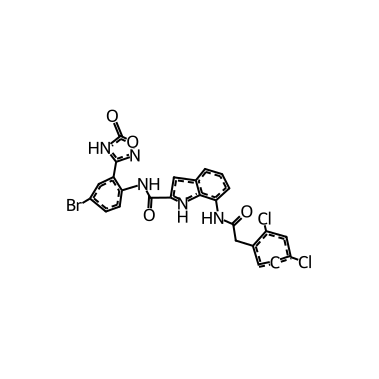 O=C(Cc1ccc(Cl)cc1Cl)Nc1cccc2cc(C(=O)Nc3ccc(Br)cc3-c3noc(=O)[nH]3)[nH]c12